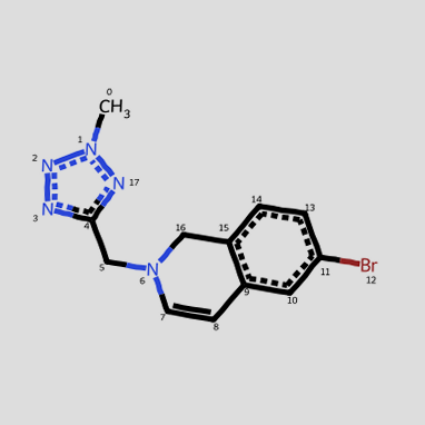 Cn1nnc(CN2C=Cc3cc(Br)ccc3C2)n1